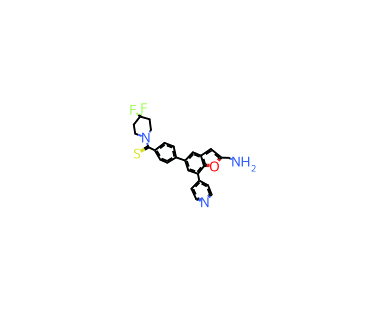 NCc1cc2cc(-c3ccc(C(=S)N4CCC(F)(F)CC4)cc3)cc(-c3ccncc3)c2o1